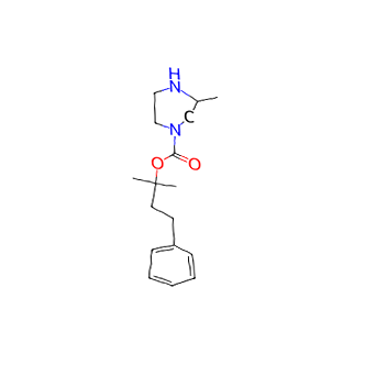 CC1CN(C(=O)OC(C)(C)CCc2ccccc2)CCN1